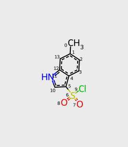 Cc1ccc2c(S(=O)(=O)Cl)c[nH]c2c1